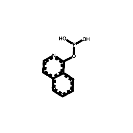 OP(O)Oc1nccc2ccccc12